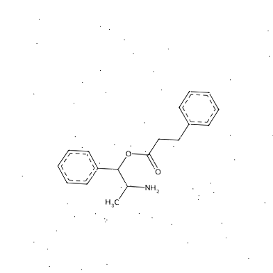 CC(N)C(OC(=O)CCc1ccccc1)c1ccccc1